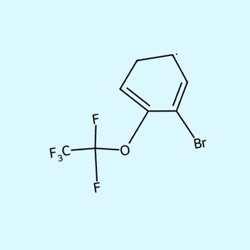 FC(F)(F)C(F)(F)OC1=CC[CH]C=C1Br